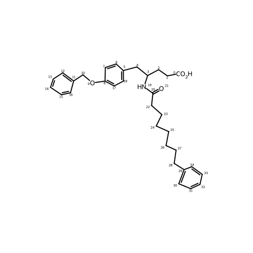 O=C(O)CCC(Cc1ccc(OCc2ccccc2)cc1)NC(=O)CCCCCCCc1ccccc1